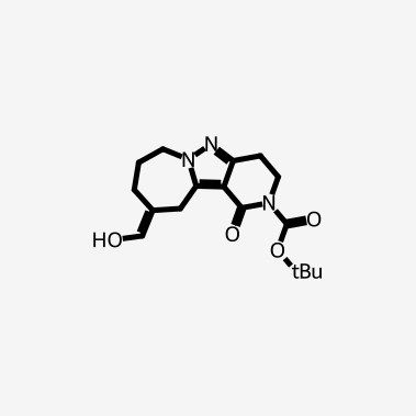 CC(C)(C)OC(=O)N1CCc2nn3c(c2C1=O)CC(=CO)CCC3